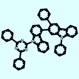 c1ccc(-c2nc(-c3ccccc3)nc(-n3c4ccccc4c4c(-c5cc6c(cc5-c5ccccc5)c5ccccc5n6-c5ccccc5)cccc43)n2)cc1